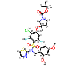 COc1ccc(CN(c2nccs2)S(=O)(=O)c2c(F)cc(OC3(C)CCN(C(=O)OC(C)(C)C)C3)c(Cl)c2F)c(OC)c1